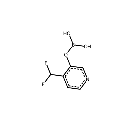 OB(O)Oc1cnccc1C(F)F